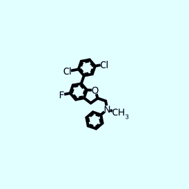 CN(CC1Cc2cc(F)cc(-c3cc(Cl)ccc3Cl)c2O1)c1ccccc1